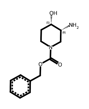 N[C@@H]1CN(C(=O)OCc2ccccc2)CC[C@@H]1O